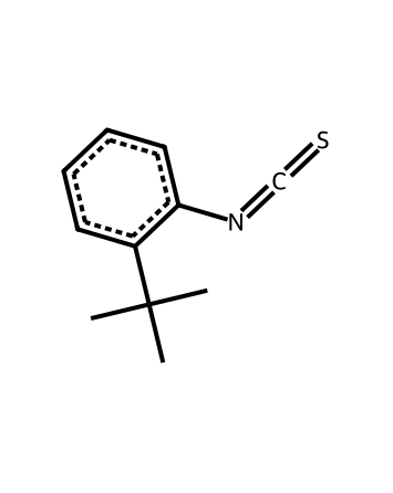 CC(C)(C)c1ccccc1N=C=S